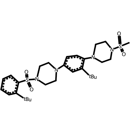 CC(C)(C)c1cc(N2CCN(S(=O)(=O)c3ccccc3C(C)(C)C)CC2)ccc1N1CCN(S(C)(=O)=O)CC1